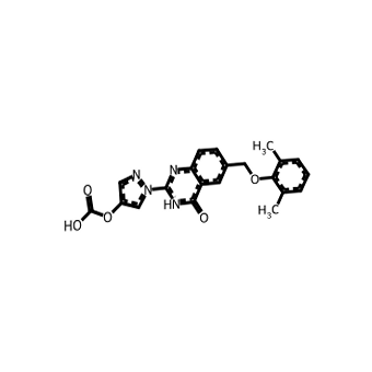 Cc1cccc(C)c1OCc1ccc2nc(-n3cc(OC(=O)O)cn3)[nH]c(=O)c2c1